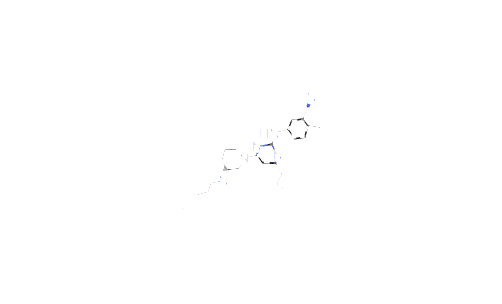 CCCc1cc(N2CCC[C@@H](NCCCSC)C2)nc(Nc2ccc(C)c(C#N)c2)n1